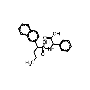 CCCC(c1ccc2ccccc2c1)P(=O)(O)NC(C(=O)O)c1ccccc1